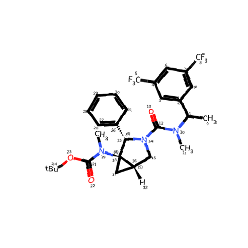 CC(c1cc(C(F)(F)F)cc(C(F)(F)F)c1)N(C)C(=O)N1C[C@@H]2C[C@]2(N(C)C(=O)OC(C)(C)C)[C@@H]1c1ccccc1